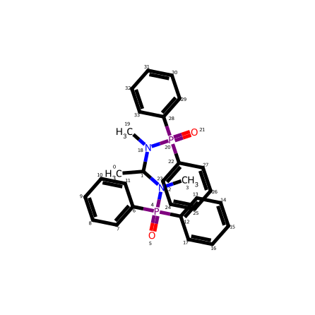 CC(N(C)P(=O)(c1ccccc1)c1ccccc1)N(C)P(=O)(c1ccccc1)c1ccccc1